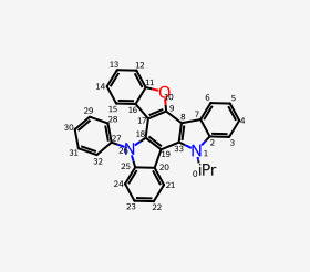 CC(C)n1c2ccccc2c2c3oc4ccccc4c3c3c(c4ccccc4n3-c3ccccc3)c21